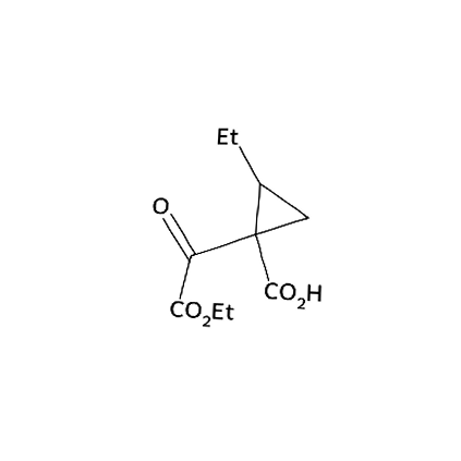 CCOC(=O)C(=O)C1(C(=O)O)CC1CC